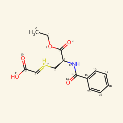 CCOC(=O)[C@H](C[SH]=CC(=O)O)NC(=O)c1ccccc1